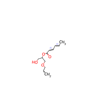 C=CCOCC(CO)OC(=O)/C=C/C=C/C